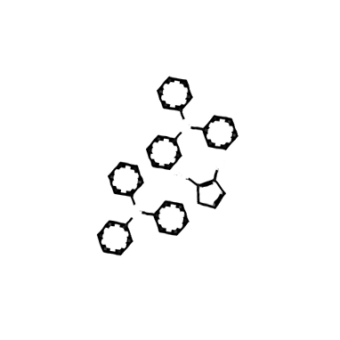 ClC1=[C]([Ru])CC=C1.c1ccc(P(c2ccccc2)c2ccccc2)cc1.c1ccc(P(c2ccccc2)c2ccccc2)cc1